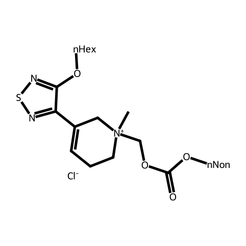 CCCCCCCCCOC(=O)OC[N+]1(C)CCC=C(c2nsnc2OCCCCCC)C1.[Cl-]